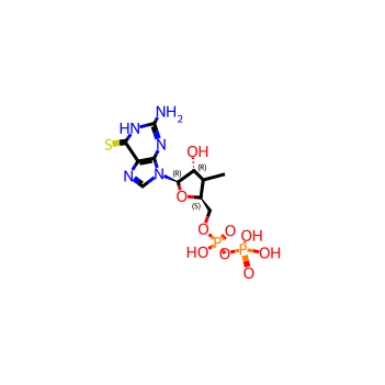 CC1[C@@H](O)[C@H](n2cnc3c(=S)[nH]c(N)nc32)O[C@@H]1COP(=O)(O)OP(=O)(O)O